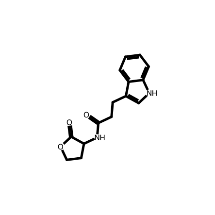 O=C(CCc1c[nH]c2ccccc12)NC1CCOC1=O